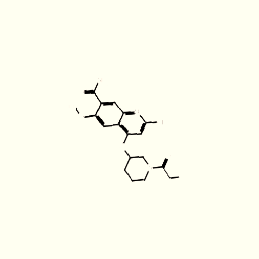 Cc1cc(OC2CCCN(C(=O)CO)C2)c2cc(OC(C)C)c(C(N)=O)cc2n1